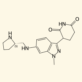 Cn1nc(C2CCC(=O)NC2=O)c2ccc(NC[C@@H]3CCCN3)cc21